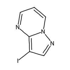 Ic1cnn2cccnc12